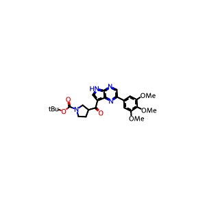 COc1cc(-c2cnc3[nH]cc(C(=O)C4CCN(C(=O)OC(C)(C)C)C4)c3n2)cc(OC)c1OC